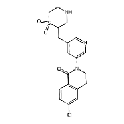 O=C1c2ccc(Cl)cc2CCN1c1cncc(CC2CNCCS2(=O)=O)c1